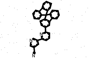 N#Cc1cncc(-c2cccc(-c3ccc4c(c3)-c3ccccc3C43c4ccccc4-c4ccccc43)n2)c1